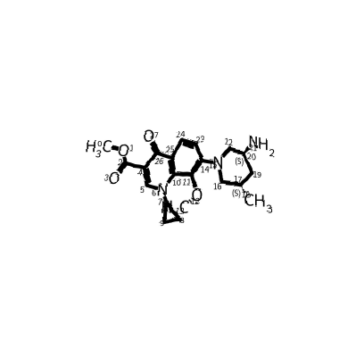 COC(=O)c1cn(C2CC2)c2c(OC)c(N3C[C@@H](C)C[C@H](N)C3)ccc2c1=O